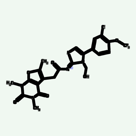 Cc1oc2c(c1CC(=O)/N=c1\scc(-c3ccc(OC(F)(F)F)c(Cl)c3)n1CO)c(=O)n(C)c(=O)n2C